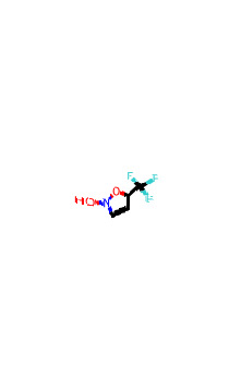 ON1C=CC(C(F)(F)F)O1